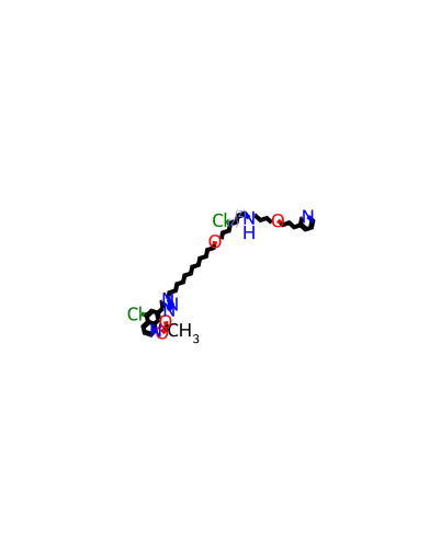 CC(=O)Oc1c(-c2cn(CCCCCCCCCCCCOCCC/C(Cl)=C/C=C\NCCCCOCCCc3cccnc3)nn2)cc(Cl)c2cccnc12